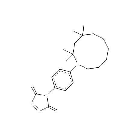 CCC1(C)CC(C)(C)CCCCCCN1c1ccc(N2C(=O)N=NC2=O)cc1